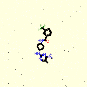 Cc1cnc(N[C@H]2CC[C@@H](NC(=O)c3cccc(C(F)(F)F)c3)CC2)nc1N(C)C